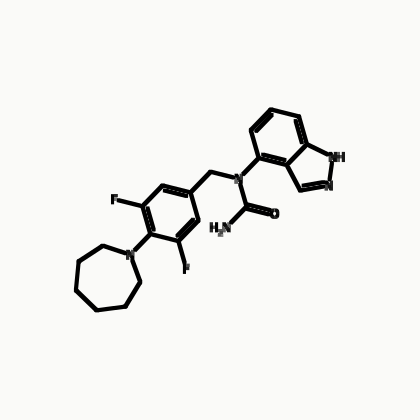 NC(=O)N(Cc1cc(F)c(N2CCCCCC2)c(F)c1)c1cccc2[nH]ncc12